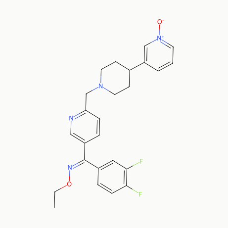 CCO/N=C(/c1ccc(CN2CCC(c3ccc[n+]([O-])c3)CC2)nc1)c1ccc(F)c(F)c1